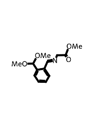 COC(=O)CN=Cc1ccccc1C(OC)OC